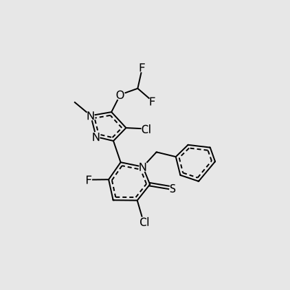 Cn1nc(-c2c(F)cc(Cl)c(=S)n2Cc2ccccc2)c(Cl)c1OC(F)F